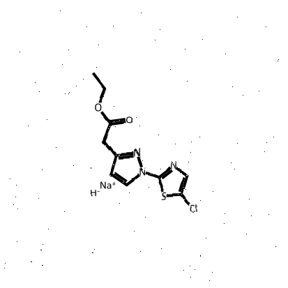 CCOC(=O)Cc1ccn(-c2ncc(Cl)s2)n1.[H-].[Na+]